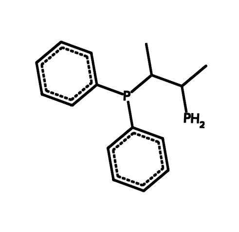 CC(P)C(C)P(c1ccccc1)c1ccccc1